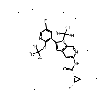 [2H]C([2H])([2H])Oc1ncc(F)cc1-c1cc2cc(NC(=O)[C@@H]3C[C@@H]3F)ncc2n1C([2H])([2H])[2H]